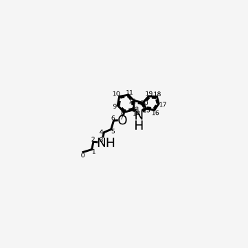 CCCNCCCOc1cccc2c1[nH]c1ccccc12